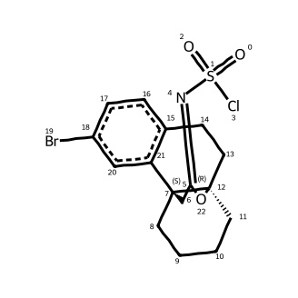 O=S(=O)(Cl)N=C1C[C@]23CCCC[C@]2(CCc2ccc(Br)cc23)O1